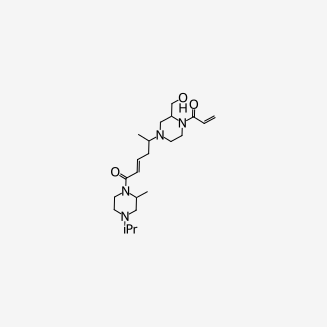 C=CC(=O)N1CCN(C(C)C/C=C/C(=O)N2CCN(C(C)C)CC2C)CC1CO